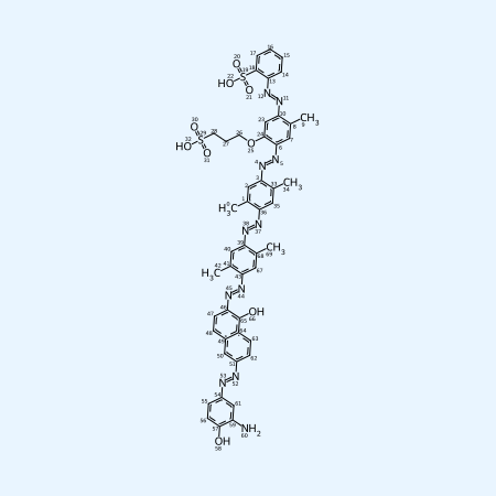 Cc1cc(N=Nc2cc(C)c(N=Nc3ccccc3S(=O)(=O)O)cc2OCCCS(=O)(=O)O)c(C)cc1N=Nc1cc(C)c(N=Nc2ccc3cc(N=Nc4ccc(O)c(N)c4)ccc3c2O)cc1C